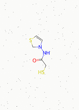 O=C(CS)NN1C=CSC1